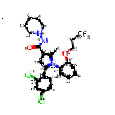 Cc1c(C(=O)NN2CCCCC2)cc(-c2ccc(Cl)cc2Cl)n1-c1ccccc1OCCC(F)(F)F